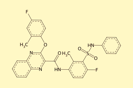 Cc1cc(F)ccc1Oc1nc2ccccc2nc1C(=O)Nc1ccc(F)c(S(=O)(=O)Nc2ccccc2)c1C